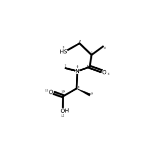 CC(CS)C(=O)N(C)[C@@H](C)C(=O)O